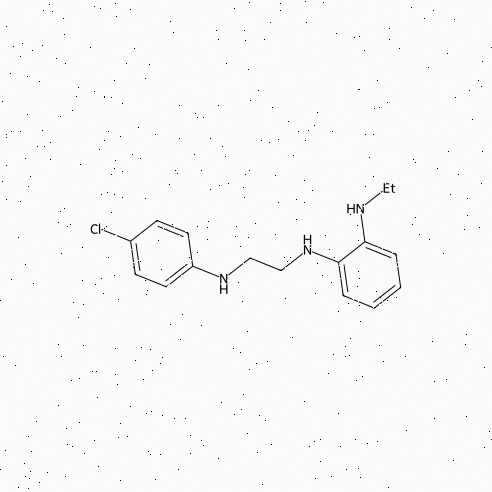 CCNc1ccccc1NCCNc1ccc(Cl)cc1